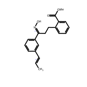 C/C=C/c1cccc(/C(CCc2ccccc2C(=O)OC)=N/O)c1